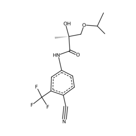 CC(C)OC[C@](C)(O)C(=O)Nc1ccc(C#N)c(C(F)(F)F)c1